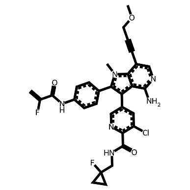 C=C(F)C(=O)Nc1ccc(-c2c(-c3cnc(C(=O)NCC4(F)CC4)c(Cl)c3)c3c(N)ncc(C#CCOC)c3n2C)cc1